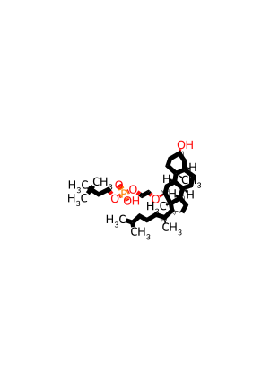 CC(C)CCC[C@@H](C)[C@H]1CC[C@H]2[C@@H]3CC[C@@H]4C[C@H](O)CC[C@]4(C)[C@H]3C[C@H](OCCOP(=O)(O)OCCC(C)(C)C)[C@]12C